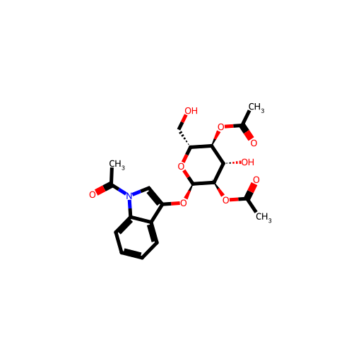 CC(=O)O[C@H]1[C@@H](Oc2cn(C(C)=O)c3ccccc23)O[C@H](CO)[C@@H](OC(C)=O)[C@@H]1O